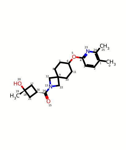 Cc1ccc(OC2CCC3(CC2)CN(C(=O)[C@H]2C[C@@](C)(O)C2)C3)nc1C